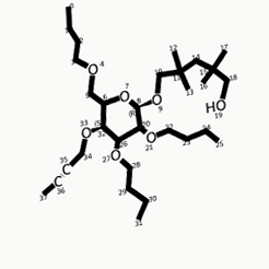 CCCCOCC1O[C@@H](OCC(C)(C)CC(C)(C)CO)C(OCCCC)C(OCCCC)[C@H]1OCCCC